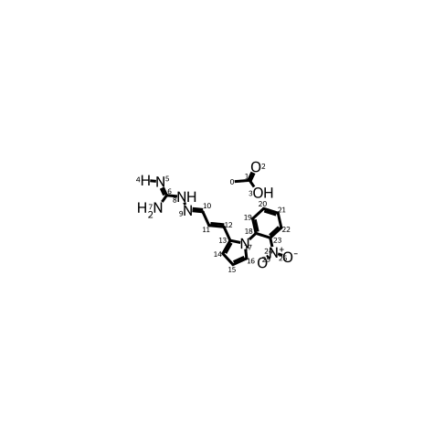 CC(=O)O.[H]/N=C(\N)NN=CC=Cc1cccn1-c1ccccc1[N+](=O)[O-]